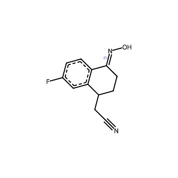 N#CCC1CC/C(=N\O)c2ccc(F)cc21